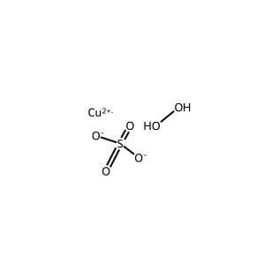 O=S(=O)([O-])[O-].OO.[Cu+2]